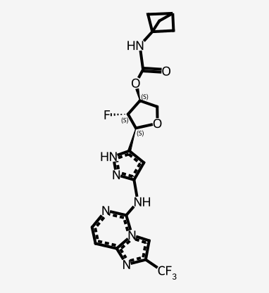 O=C(NC12CC(C1)C2)O[C@H]1CO[C@@H](c2cc(Nc3nccc4nc(C(F)(F)F)cn34)n[nH]2)[C@@H]1F